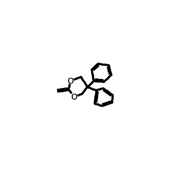 C=C1OCC(c2ccccc2)(c2ccccc2)CO1